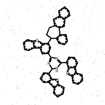 c1ccc2c(c1)-c1cc3ccccc3cc1CCC2c1cc(C2=NC(c3cccc4c3sc3ccccc34)NC(c3cccc4c3sc3ccccc34)=N2)cc2c1oc1ccccc12